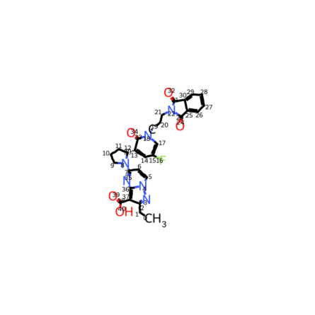 CCc1nn2ccc(N3CCC[C@@H]3c3cc(F)cn(CCCN4C(=O)c5ccccc5C4=O)c3=O)nc2c1C(=O)O